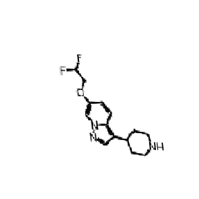 FC(F)COc1ccc2c(C3CCNCC3)cnn2c1